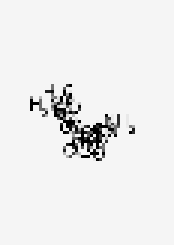 CCOC(=O)[C@@H]1[C@H](OC(=O)OC[C@H]2O[C@@](C#N)(c3ccc4c(N)ncnn34)[C@@H]3OC(=O)CCCC(=O)O[C@@H]32)CCN1C